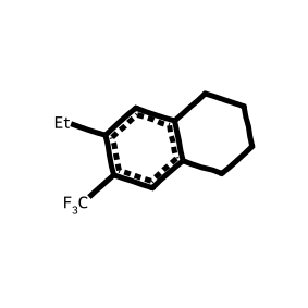 CCc1cc2c(cc1C(F)(F)F)CCCC2